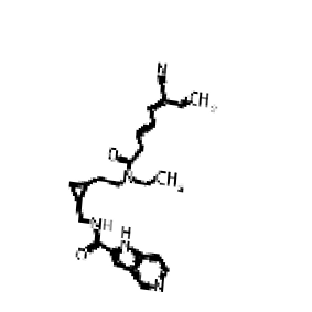 C=C/C(C#N)=C\C=C\CC(=O)N(CC)CCC1CC1CNC(=O)c1cc2cnccc2[nH]1